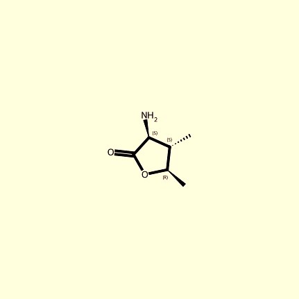 C[C@H]1[C@H](N)C(=O)O[C@@H]1C